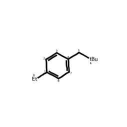 [CH2]Cc1ccc(CC(C)(C)C)cc1